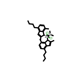 CCCCc1ccc(C)c2c1C=C(C)[CH]2[Zr]([Cl])([Cl])([CH]1C(C)=Cc2c(CCCC)ccc(C)c21)=[Si](C)C